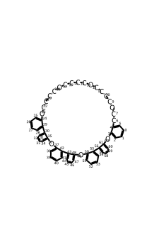 c1ccc2c(c1)CCOCCCCOCCCCOCCCCOc1ccccc1-c1ccccc1Oc1ccccc1-c1ccccc1Oc1ccccc1-c1ccccc1O2